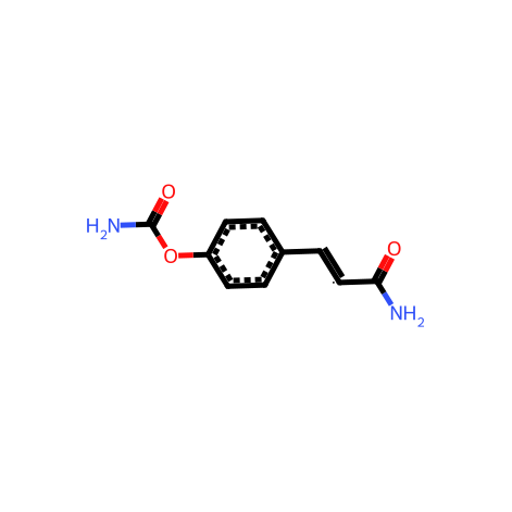 NC(=O)[C]=Cc1ccc(OC(N)=O)cc1